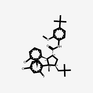 COc1cc(C(C)(C)C)ccc1NC(=O)[C@@H]1C[C@@H](CC(C)(C)C)[C@](C)(c2ccc(Cl)cc2F)[C@H]1c1cccc(Cl)c1F